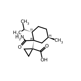 CC(C)[C@@H]1CC[C@@H](C)C[C@]1(C(N)=O)C1(C(=O)O)CC1